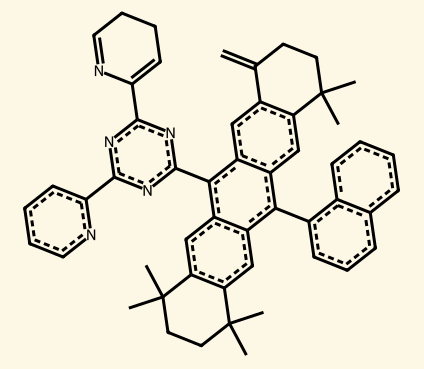 C=C1CCC(C)(C)c2cc3c(-c4cccc5ccccc45)c4cc5c(cc4c(-c4nc(C6=CCCC=N6)nc(-c6ccccn6)n4)c3cc21)C(C)(C)CCC5(C)C